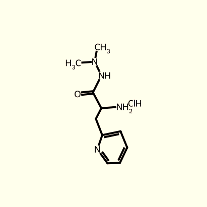 CN(C)NC(=O)C(N)Cc1ccccn1.Cl